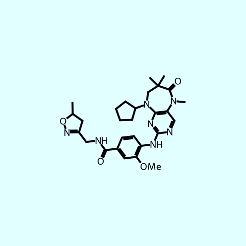 COc1cc(C(=O)NCC2=NOC(C)C2)ccc1Nc1ncc2c(n1)N(C1CCCC1)CC(C)(C)C(=O)N2C